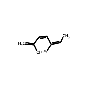 C=C(Cl)/C=C\C(=C/C)CCC